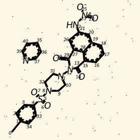 Cc1ccc(S(=O)(=O)N2CCN(N3C(=O)c4cccc5cc(N[N+](=O)[O-])cc(c45)C3=O)CC2)cc1.c1ccncc1